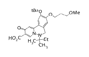 CCC(C)(C)N1Cc2cc(OCCCOC)c(OC(C)(C)C)cc2-c2cc(=O)c(C(=O)O)cn21